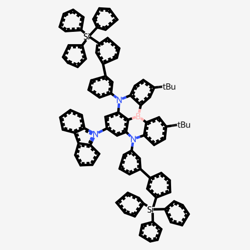 CC(C)(C)c1ccc2c(c1)B1c3cc(C(C)(C)C)ccc3N(c3cccc(-c4cccc([Si](c5ccccc5)(c5ccccc5)c5ccccc5)c4)c3)c3cc(-n4c5ccccc5c5ccccc54)cc(c31)N2c1cccc(-c2cccc([Si](c3ccccc3)(c3ccccc3)c3ccccc3)c2)c1